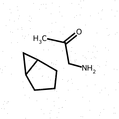 C1CC2CC2C1.CC(=O)CN